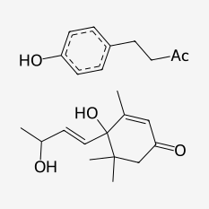 CC(=O)CCc1ccc(O)cc1.CC1=CC(=O)CC(C)(C)C1(O)C=CC(C)O